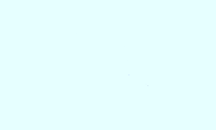 FC(F)(F)C1CC=C(C2CCC3OC4C(C5CC=C(C6CCC7CCCCC7N6)CC5)=CCCC4C3C2)CC1